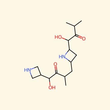 CC(C)C(=O)C(O)C1CC(CC(C)C(=O)C(O)C2CNC2)N1